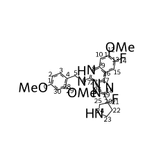 COc1ccc(CNc2nc3cc(OC)c(F)cc3c3nc(C4(F)CCNC4)nn23)c(OC)c1